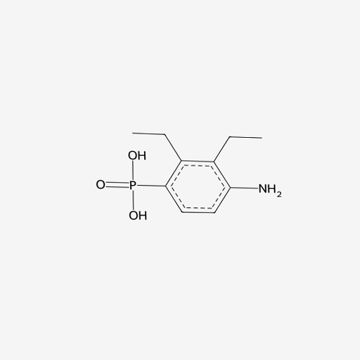 CCc1c(N)ccc(P(=O)(O)O)c1CC